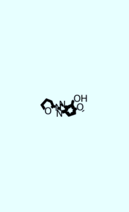 COc1ccc2nn(C3CCCCO3)nc2c1CO